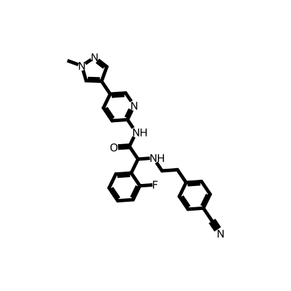 Cn1cc(-c2ccc(NC(=O)C(NCCc3ccc(C#N)cc3)c3ccccc3F)nc2)cn1